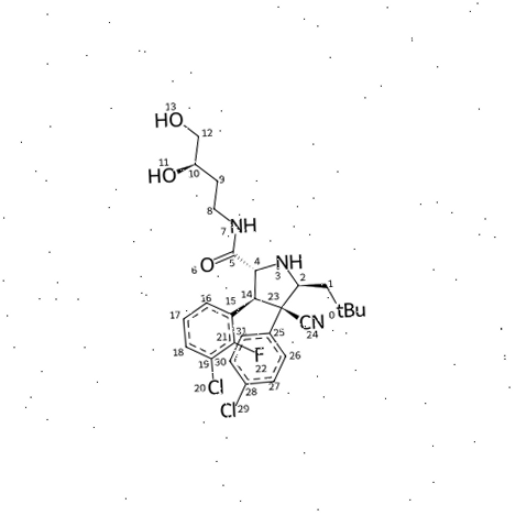 CC(C)(C)C[C@@H]1N[C@@H](C(=O)NCC[C@@H](O)CO)[C@H](c2cccc(Cl)c2F)[C@@]1(C#N)c1ccc(Cl)cc1